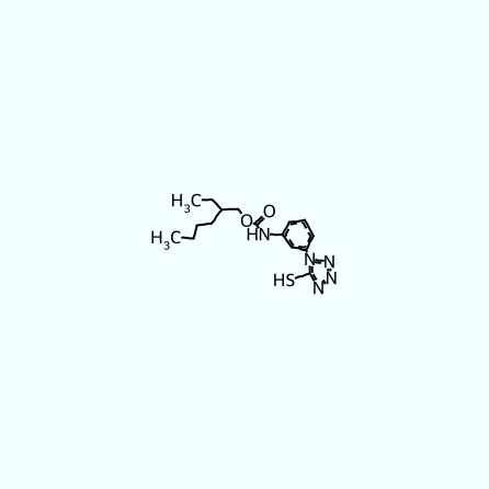 CCCCC(CC)COC(=O)Nc1cccc(-n2nnnc2S)c1